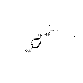 O=C(O)NNc1ccc([N+](=O)[O-])cc1